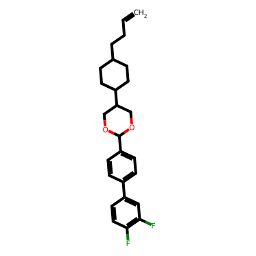 C=CCCC1CCC(C2COC(c3ccc(-c4ccc(F)c(F)c4)cc3)OC2)CC1